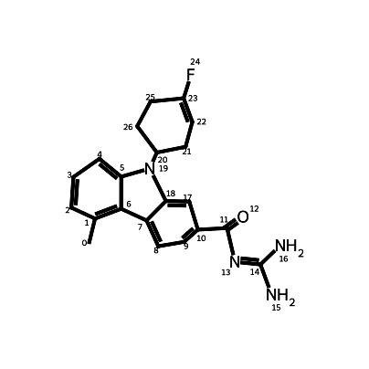 Cc1cccc2c1c1ccc(C(=O)N=C(N)N)cc1n2C1CC=C(F)CC1